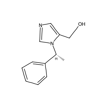 C[C@H](c1ccccc1)n1cncc1CO